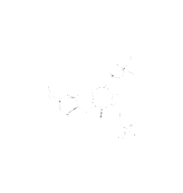 COc1ccc(CN2CCN(C(=O)OC(C)(C)C)CC(COS(C)(=O)=O)C2=O)cc1